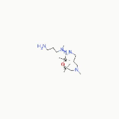 CN(CCCN)C[Si](C)(C)O[Si](C)(C)CN(C)CCCN